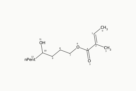 CC=C(C)C(=O)OCCCC(O)CCCCC